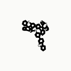 c1ccc2c(c1)Sc1ccccc1C21c2ccccc2-c2ccc(N(c3ccc(-c4ccc5c(c4)oc4ccccc45)cc3)c3cccc4c3-c3ccccc3C43c4ccccc4Sc4ccccc43)cc21